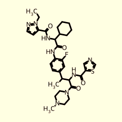 CCn1nccc1C(=O)NC(C(=O)Nc1ccc(C(C)C(NC(=O)c2cncs2)C(=O)N2CCN(C)CC2)cc1F)C1CCCCC1